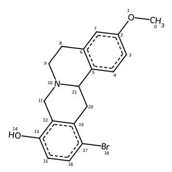 COc1ccc2c(c1)CCN1Cc3c(O)ccc(Br)c3CC21